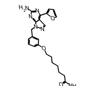 Nc1nc(-c2ccco2)c2cnn(Cc3cccc(OCCCCCCC(=O)NO)c3)c2n1